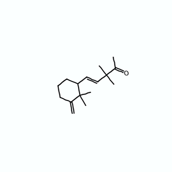 C=C1CCCC(C=CC(C)(C)C(C)=O)C1(C)C